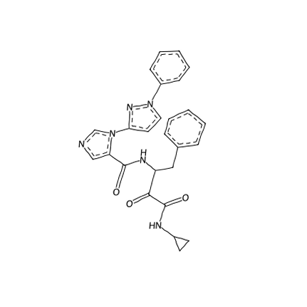 O=C(NC1CC1)C(=O)C(Cc1ccccc1)NC(=O)c1cncn1-c1ccn(-c2ccccc2)n1